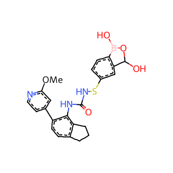 COc1cc(-c2ccc3c(c2NC(=O)NSc2ccc4c(c2)C(O)OB4O)CCC3)ccn1